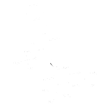 CC(C)(C)OC(=O)N[C@H](CCC(C(=O)OCc1ccccc1)C(=O)OC(C)(C)C)C(=O)OC(C)(C)C